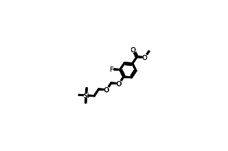 COC(=O)c1ccc(OCOCC[Si](C)(C)C)c(F)c1